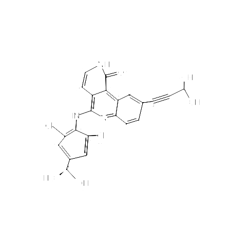 CC(C)C#Cc1ccc2nc(Nc3c(Cl)cc([C@H](C)O)cc3Cl)c3cc[nH]c(=O)c3c2c1